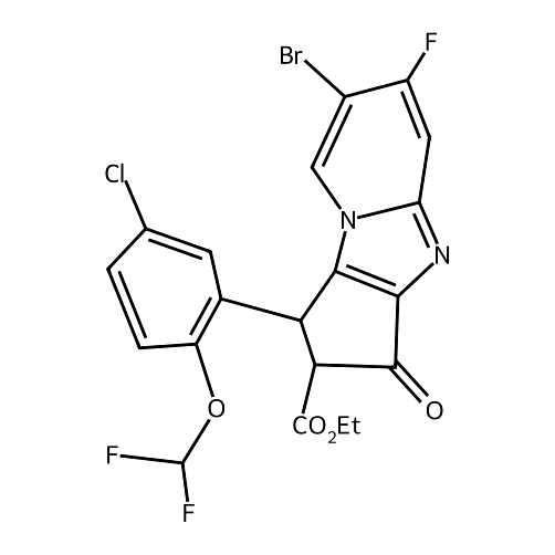 CCOC(=O)C1C(=O)c2nc3cc(F)c(Br)cn3c2C1c1cc(Cl)ccc1OC(F)F